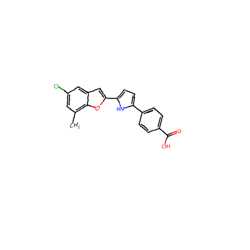 Cc1cc(Cl)cc2cc(-c3ccc(-c4ccc(C(=O)O)cc4)[nH]3)oc12